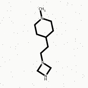 CN1CCC(CCN2CNC2)CC1